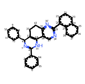 c1ccc(C2=NC(c3ccccc3)C3=C(N2)c2cnc(-c4cccc5ccccc45)nc2CC3)cc1